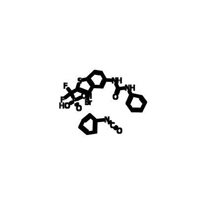 O=C(Nc1ccccc1)Nc1ccc2sc(C(F)(F)P(=O)(O)O)c(Br)c2c1.O=C=Nc1ccccc1